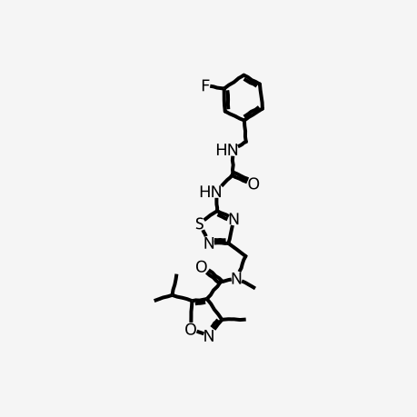 Cc1noc(C(C)C)c1C(=O)N(C)Cc1nsc(NC(=O)NCc2cccc(F)c2)n1